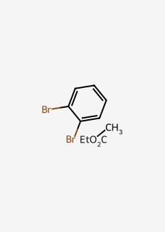 Brc1ccccc1Br.CCOC(C)=O